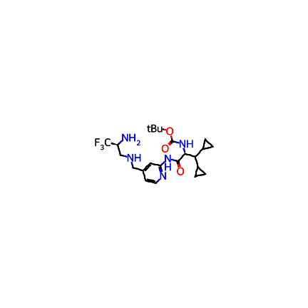 CC(C)(C)OC(=O)N[C@H](C(=O)Nc1cc(CNC[C@H](N)C(F)(F)F)ccn1)C(C1CC1)C1CC1